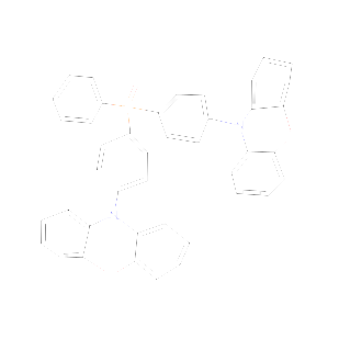 O=P(c1ccccc1)(c1ccc(N2c3ccccc3Oc3ccccc32)cc1)c1ccc(N2c3ccccc3Oc3ccccc32)cc1